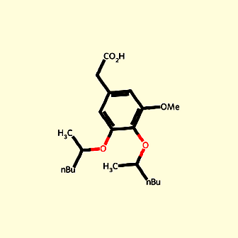 CCCCC(C)Oc1cc(CC(=O)O)cc(OC)c1OC(C)CCCC